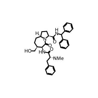 CN[C@H](Cc1ccccc1)C(=O)N[C@@H]1C(=O)N2[C@@H](CC[C@@H]1CO)CC[C@H]2C(=O)NC(c1ccccc1)c1ccccc1